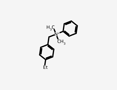 CCc1ccc(C[N+](C)(C)c2ccccc2)cc1